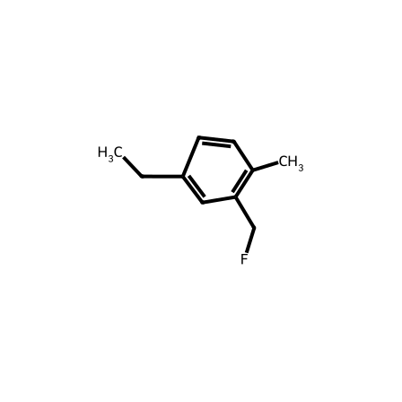 CCc1ccc(C)c(CF)c1